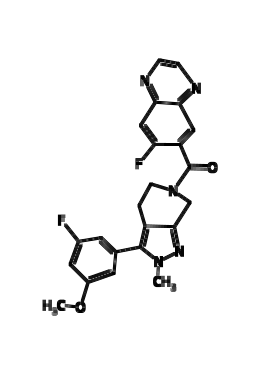 COc1cc(F)cc(-c2c3c(nn2C)CN(C(=O)c2cc4nccnc4cc2F)CC3)c1